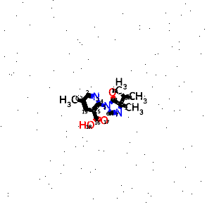 Cc1cnc(N2C=NC(C)(C(C)C)C2=O)c(C(=O)O)c1